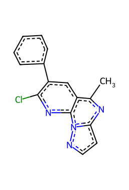 Cc1nc2ccnn2c2nc(Cl)c(-c3ccccc3)cc12